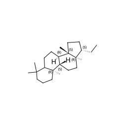 CC[C@H]1CC[C@@]2(C)[C@@H]3CCC4C(C)(C)CCC[C@]4(C)[C@H]3CC[C@]12C